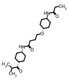 CCC(=O)N[C@H]1CC[C@H](OCCCC(=O)N[C@H]2CC[C@@H](C(=O)C(C)C)CC2)CC1